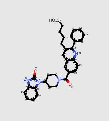 O=C(O)CCCCc1cc2cc(C(=O)N3CCC(n4c(=O)[nH]c5ccccc54)CC3)ccc2nc1-c1ccccc1